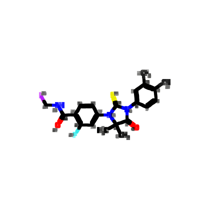 CC1(C)C(=O)N(c2ccc(C#N)c(C(F)(F)F)c2)C(=S)N1c1ccc(C(=O)NCI)c(F)c1